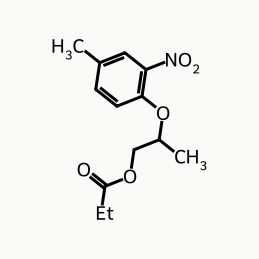 CCC(=O)OCC(C)Oc1ccc(C)cc1[N+](=O)[O-]